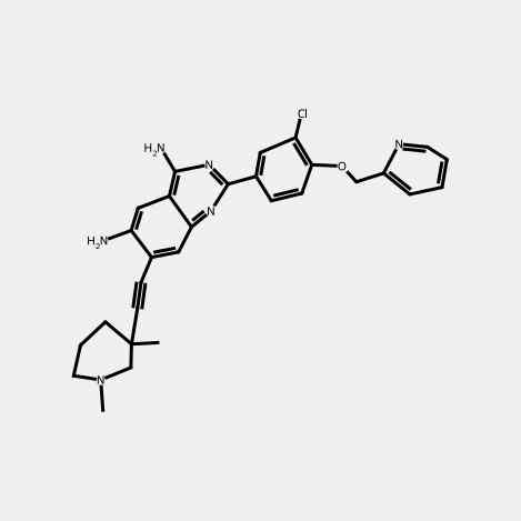 CN1CCCC(C)(C#Cc2cc3nc(-c4ccc(OCc5ccccn5)c(Cl)c4)nc(N)c3cc2N)C1